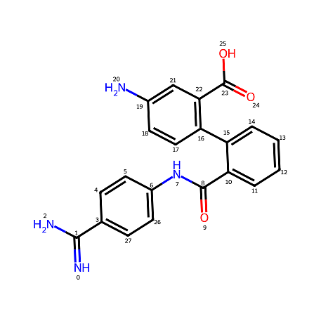 N=C(N)c1ccc(NC(=O)c2ccccc2-c2ccc(N)cc2C(=O)O)cc1